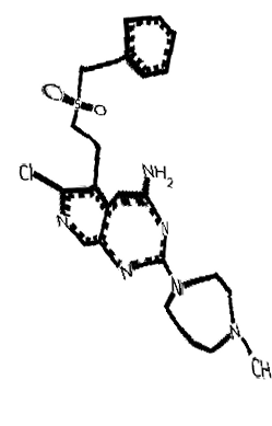 CN1CCN(c2nc(N)c3c(CCS(=O)(=O)Cc4ccccc4)c(Cl)ncc3n2)CC1